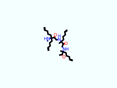 C=CCCCC(C)(NCC(=O)C(C)(CCCC=C)NCC(=O)C(CCCC=C)(CCCC=C)NC)C(C)=O